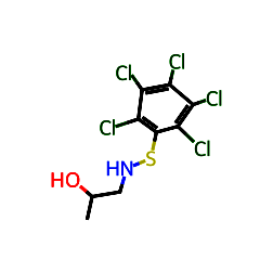 CC(O)CNSc1c(Cl)c(Cl)c(Cl)c(Cl)c1Cl